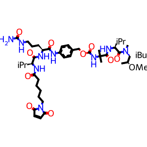 CC[C@H](C)[C@@H]([C@@H](C)OC)N(C)C(=O)[C@@H](NC(=O)C(C)(C)NC(=O)OCc1ccc(NC(=O)[C@H](CCCNC(N)=O)NC(=O)[C@@H](NC(=O)CCCCCN2C(=O)C=CC2=O)C(C)C)cc1)C(C)C